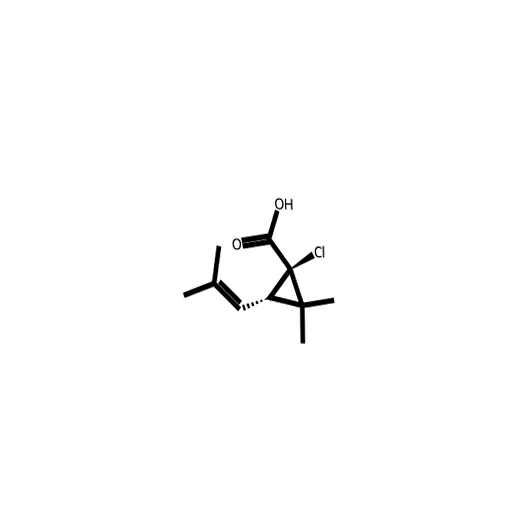 CC(C)=C[C@H]1C(C)(C)[C@@]1(Cl)C(=O)O